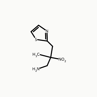 CC(CN)(Cc1nccs1)[N+](=O)[O-]